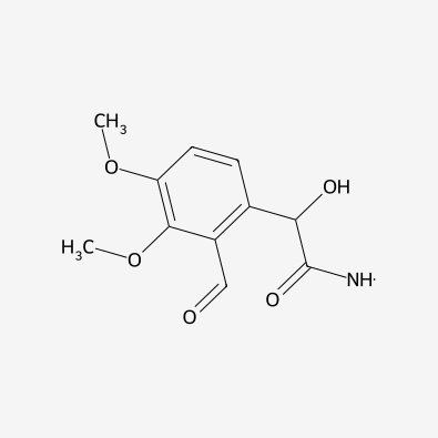 COc1ccc(C(O)C([NH])=O)c(C=O)c1OC